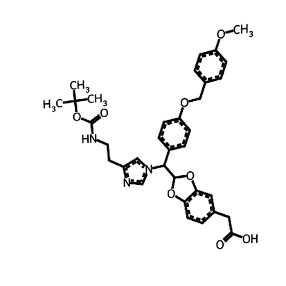 COc1ccc(COc2ccc(C(C3Oc4ccc(CC(=O)O)cc4O3)n3cnc(CCNC(=O)OC(C)(C)C)c3)cc2)cc1